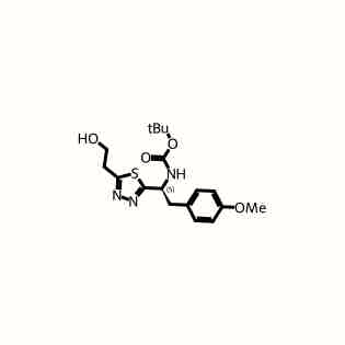 COc1ccc(C[C@H](NC(=O)OC(C)(C)C)c2nnc(CCO)s2)cc1